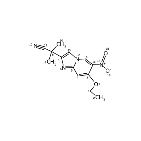 CCOc1cc2nc(C(C)(C)C#N)cn2cc1[N+](=O)[O-]